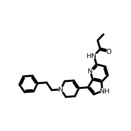 CCC(=O)Nc1ccc2[nH]cc(C3=CCN(CCc4ccccc4)CC3)c2n1